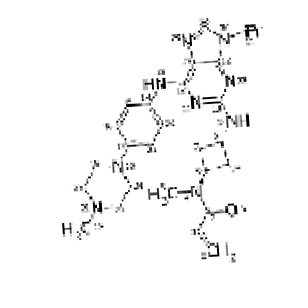 C=CC(=O)N(C)[C@H]1C[C@H](Nc2nc(Nc3ccc(N4CCN(C)CC4)cc3)c3ncn(C(C)C)c3n2)C1